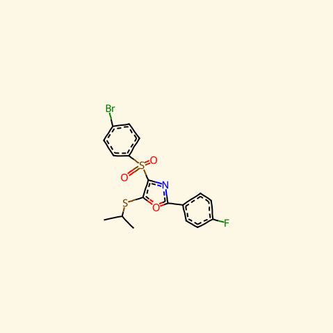 CC(C)Sc1oc(-c2ccc(F)cc2)nc1S(=O)(=O)c1ccc(Br)cc1